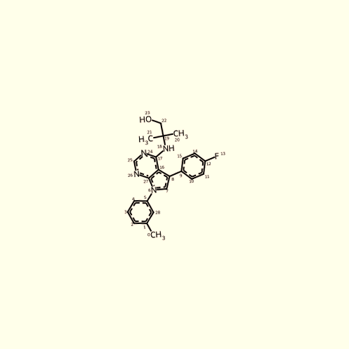 Cc1cccc(-n2cc(-c3ccc(F)cc3)c3c(NC(C)(C)CO)ncnc32)c1